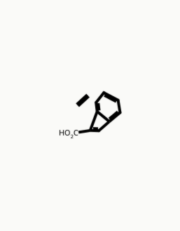 C=C.O=C(O)C1=Cc2ccccc21